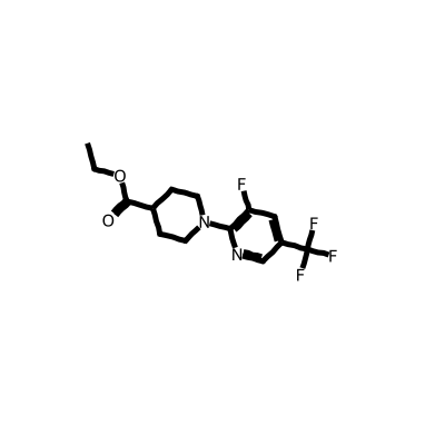 CCOC(=O)C1CCN(c2ncc(C(F)(F)F)cc2F)CC1